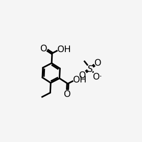 CCc1ccc(C(=O)O)cc1C(=O)O.CS([O])(=O)=O